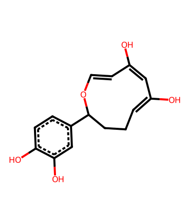 OC1=C\CCC(c2ccc(O)c(O)c2)O/C=C/C(O)=C\1